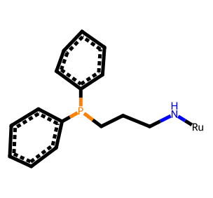 [Ru][NH]CCCP(c1ccccc1)c1ccccc1